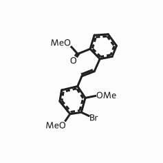 COC(=O)c1ccccc1/C=C/c1ccc(OC)c(Br)c1OC